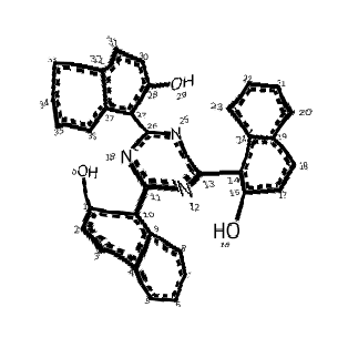 Oc1ccc2ccccc2c1-c1nc(-c2c(O)ccc3ccccc23)nc(-c2c(O)ccc3ccccc23)n1